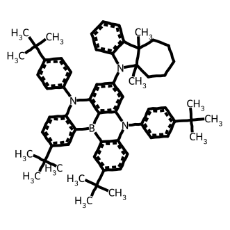 CC(C)(C)c1ccc(N2c3ccc(C(C)(C)C)cc3B3c4cc(C(C)(C)C)ccc4N(c4ccc(C(C)(C)C)cc4)c4cc(N5c6ccccc6C6(C)CCCCCC56C)cc2c43)cc1